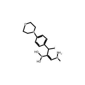 CN(N)/C=C(/B(O)O)C(I)c1ccc(N2CCOCC2)cc1